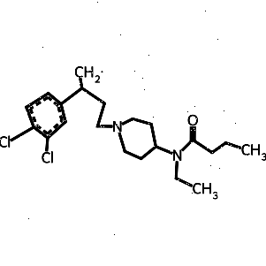 [CH2]C(CCN1CCC(N(CC)C(=O)CCC)CC1)c1ccc(Cl)c(Cl)c1